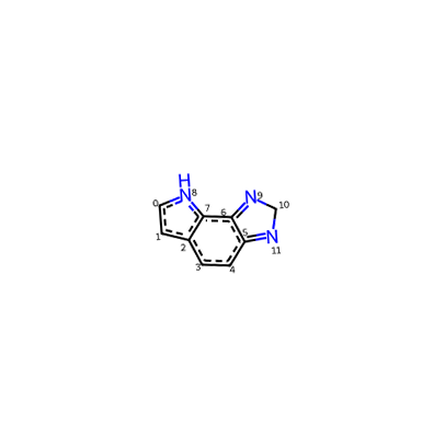 c1cc2ccc3c(c2[nH]1)=NCN=3